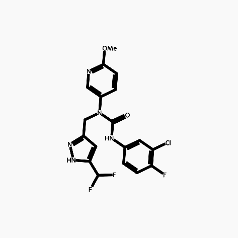 COc1ccc(N(Cc2cc(C(F)F)[nH]n2)C(=O)Nc2ccc(F)c(Cl)c2)cn1